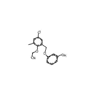 Cc1cc(Cl)cc(COc2cccc(O)c2)c1OCC#N